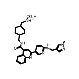 Cn1cc(CNc2ccc(-c3cc(C(=O)NCC4CCC(CNC(=O)O)CC4)c4ccccc4n3)cn2)cn1